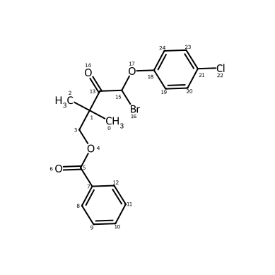 CC(C)(COC(=O)c1ccccc1)C(=O)C(Br)Oc1ccc(Cl)cc1